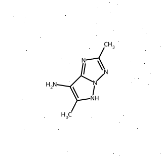 Cc1nc2c(N)c(C)[nH]n2n1